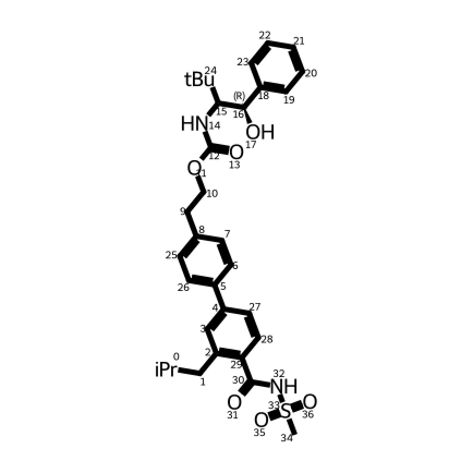 CC(C)Cc1cc(-c2ccc(CCOC(=O)NC([C@H](O)c3ccccc3)C(C)(C)C)cc2)ccc1C(=O)NS(C)(=O)=O